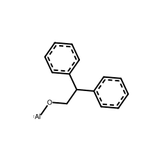 [Al][O]CC(c1ccccc1)c1ccccc1